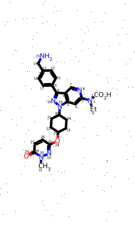 CCN(C(=O)O)c1cc2c(cn1)c(-c1ccc(CN)cc1)nn2C1CCC(Oc2ccc(=O)n(C)n2)CC1